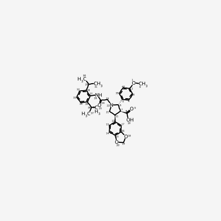 COc1ccc([C@@H]2[C@@H](C(=O)O)[C@@H](c3ccc4c(c3)OCO4)CN2CC(=O)Nc2c(C(C)C)cccc2C(C)C)cc1